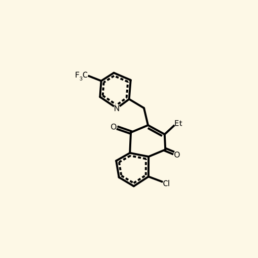 CCC1=C(Cc2ccc(C(F)(F)F)cn2)C(=O)c2cccc(Cl)c2C1=O